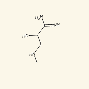 CNCC(O)C(=N)N